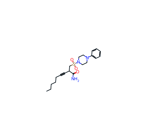 CCCCCC#CC(CS(=O)(=O)N1CCN(c2ccccc2)CC1)C(N)=O